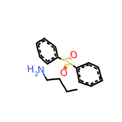 CCCCN.O=S(=O)(c1ccccc1)c1ccccc1